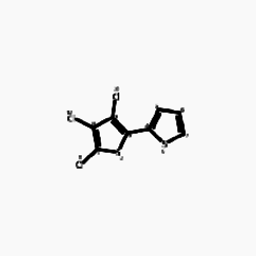 Clc1sc(-c2cc[c]s2)c(Cl)c1Cl